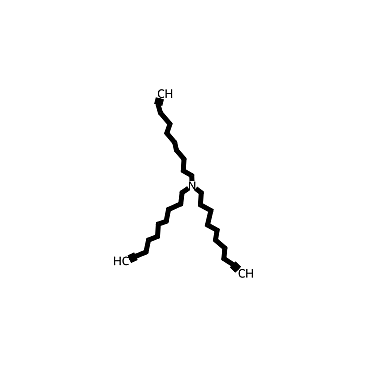 C#CCCCCCCCCN(CCCCCCCCC#C)CCCCCCCCC#C